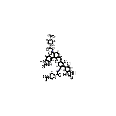 CC(=O)N1CCN(C(=O)/C=C/c2ccc(Sc3ccc(/C=C/C(=O)N4CCN(C(C)=O)CC4)c(-c4cc5[nH]c(=O)[nH]c5cc4Cl)c3Cl)c(Cl)c2-c2cc3[nH]c(=O)[nH]c3cc2Cl)CC1